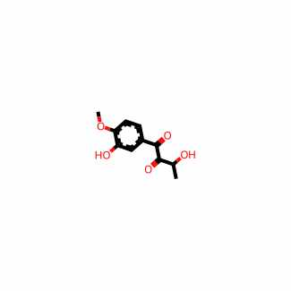 COc1ccc(C(=O)C(=O)C(C)O)cc1O